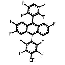 Fc1ccc2c(-c3c(F)c(F)c(C(F)(F)F)c(F)c3F)c3cc(F)c(F)cc3c(-c3c(F)c(F)cc(F)c3F)c2c1